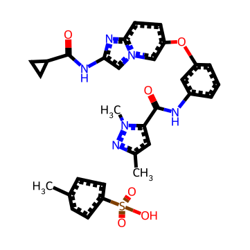 Cc1cc(C(=O)Nc2cccc(Oc3ccc4nc(NC(=O)C5CC5)cn4c3)c2)n(C)n1.Cc1ccc(S(=O)(=O)O)cc1